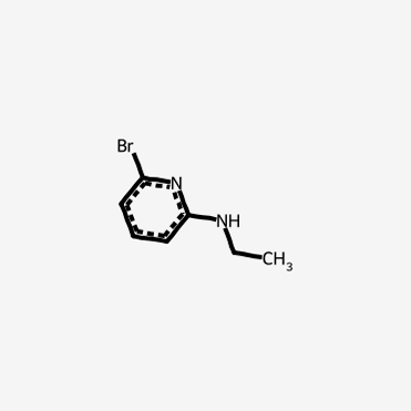 CCNc1cccc(Br)n1